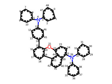 c1ccc(N(c2ccccc2)c2ccc(-c3cccc4c3Oc3ccc(N(c5ccccc5)c5ccccc5)c5cccc-4c35)cc2)cc1